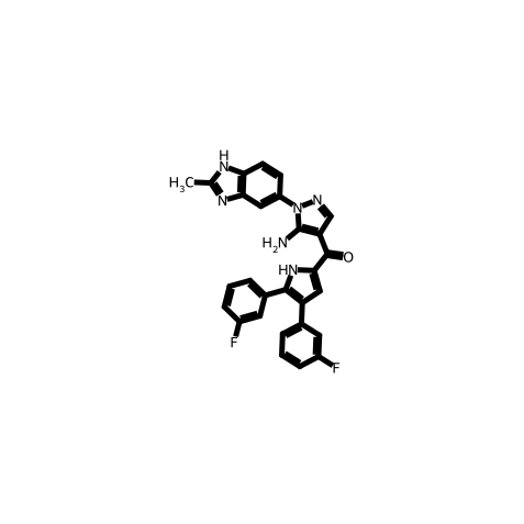 Cc1nc2cc(-n3ncc(C(=O)c4cc(-c5cccc(F)c5)c(-c5cccc(F)c5)[nH]4)c3N)ccc2[nH]1